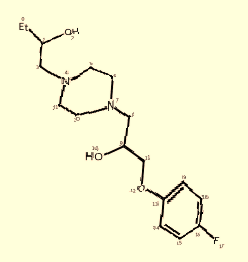 CCC(O)CN1CCN(CC(O)COc2ccc(F)cc2)CC1